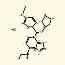 CCNc1ncn(C(OC2CCCC2)c2ccc(OC)cc2)c2ncnc1-2.Cl